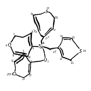 C1=CC(O[Si](C2=CCOC=C2)(C2=CCSC=C2)C2=CCSC=C2)=CCO1